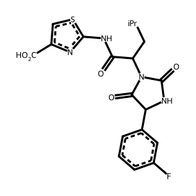 CC(C)CC(C(=O)Nc1nc(C(=O)O)cs1)N1C(=O)NC(c2cccc(F)c2)C1=O